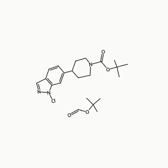 CC(C)(C)OC(=O)N1CCC(c2ccc3cnn(Cl)c3c2)CC1.CC(C)(C)OC=O